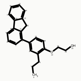 CCCc1cc(-c2cccc3c2Cc2ccccc2-3)ccc1OCCO